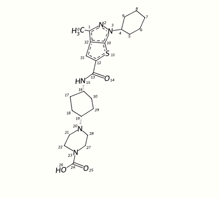 Cc1nn(C2CCCCC2)c2sc(C(=O)N[C@H]3CC[C@@H](N4CCN(C(=O)O)CC4)CC3)cc12